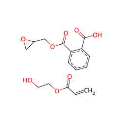 C=CC(=O)OCCO.O=C(O)c1ccccc1C(=O)OCC1CO1